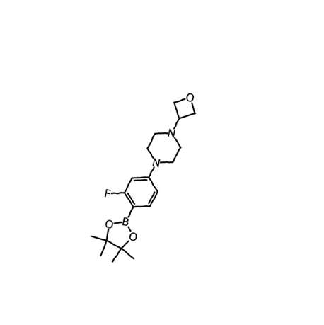 CC1(C)OB(c2ccc(N3CCN(C4COC4)CC3)cc2F)OC1(C)C